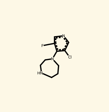 Fc1cncc(Cl)c1N1CCCNCC1